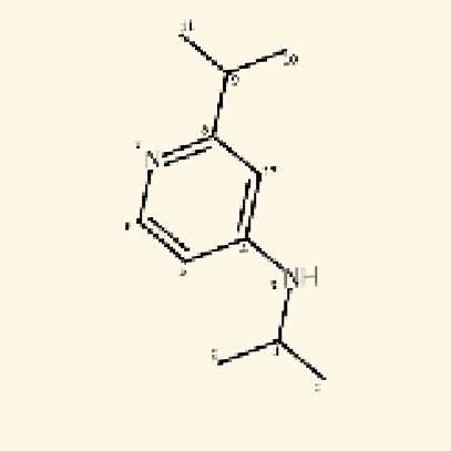 CC(C)Nc1ccnc(C(C)C)c1